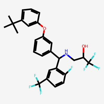 CC(C)(C)c1cccc(Oc2cccc(C(NCC(O)C(F)(F)F)c3cc(C(F)(F)F)ccc3F)c2)c1